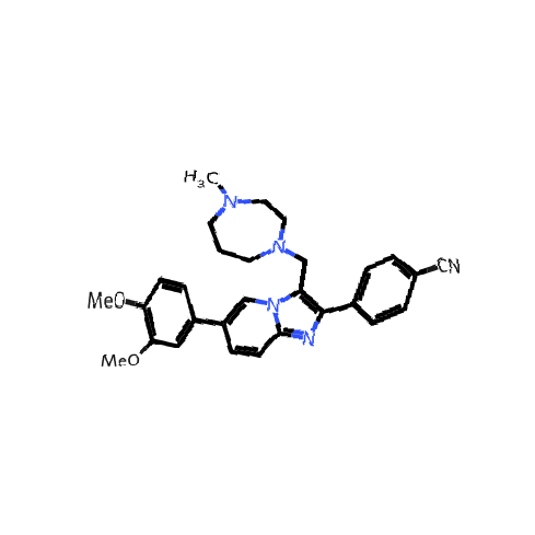 COc1ccc(-c2ccc3nc(-c4ccc(C#N)cc4)c(CN4CCCN(C)CC4)n3c2)cc1OC